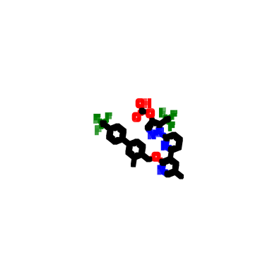 Cc1cnc(OCc2ccc(-c3ccc(C(F)(F)F)cc3)cc2C)c(-c2cccc(-n3ncc(OC(=O)O)c3C(F)(F)F)n2)c1